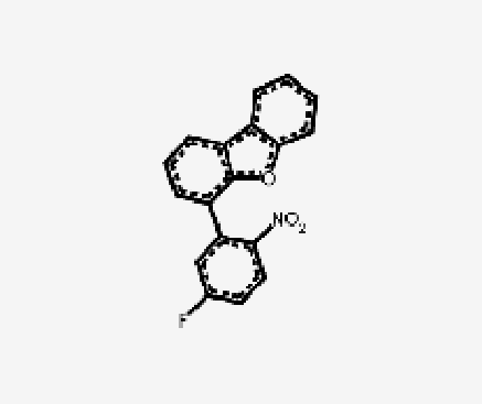 O=[N+]([O-])c1ccc(F)cc1-c1cccc2c1oc1ccccc12